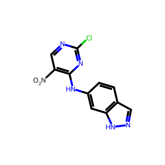 O=[N+]([O-])c1cnc(Cl)nc1Nc1ccc2cn[nH]c2c1